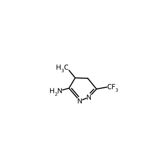 CC1CC(C(F)(F)F)=NN=C1N